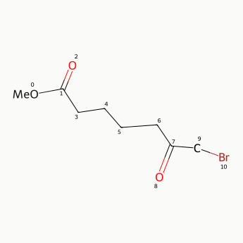 COC(=O)CCCCC(=O)CBr